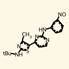 Cc1nc(NC(C)(C)C)sc1-c1ccnc(Nc2cccc(N=O)c2)n1